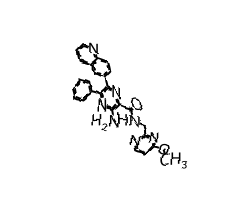 COc1ccnc(CNC(=O)c2nc(-c3ccc4ncccc4c3)c(-c3ccccc3)nc2N)n1